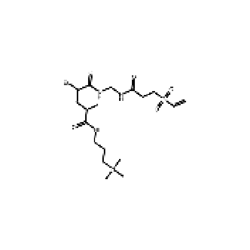 C=CS(=O)(=O)CCC(=O)NCNC(=O)C(CC)CC(C)C(=O)NCCC[N+](C)(C)C